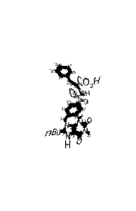 CCCCC1Nc2c(n(C)c(=O)n(C)c2=O)N1Cc1ccc(S(=O)(=O)N[C@H](Cc2ccccc2)C(=O)O)cc1